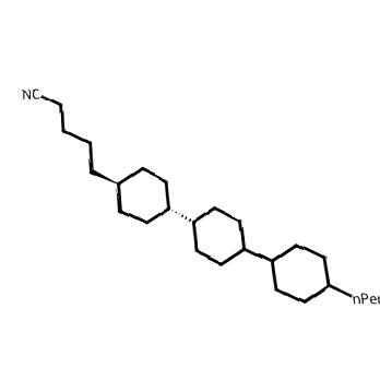 CCCCCC1CCC(C2CCC([C@H]3CC[C@H](CCCCC#N)CC3)CC2)CC1